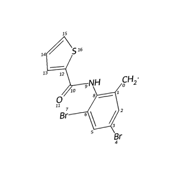 [CH2]c1cc(Br)cc(Br)c1NC(=O)c1cccs1